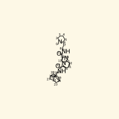 CN1CCCCC1CCNC(=O)c1cn2c(C(=O)NCC34CC5CC(CC(C5)C3)C4)cccc2n1